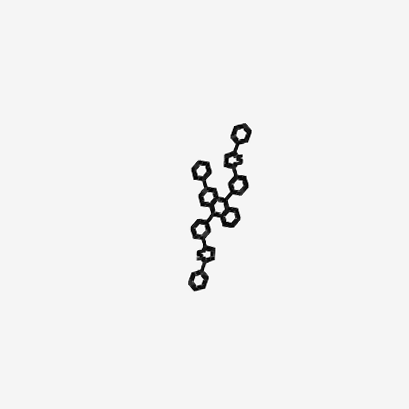 c1ccc(-c2ccc3c(-c4cccc(-c5ccc(-c6ccccc6)s5)c4)c4ccccc4c(-c4cccc(-c5ccc(-c6ccccc6)s5)c4)c3c2)cc1